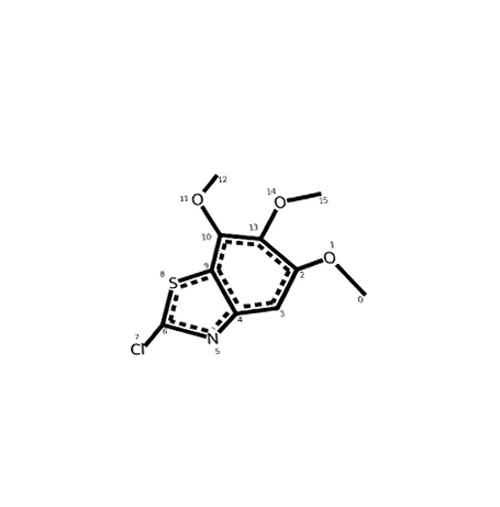 COc1cc2nc(Cl)sc2c(OC)c1OC